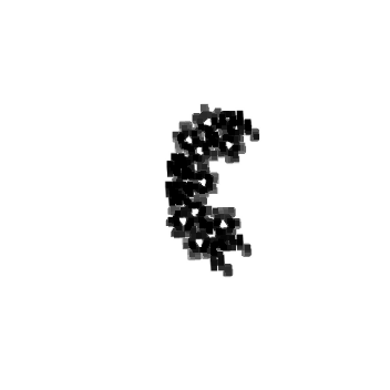 CC1(C)c2ccccc2N(c2ccc(-c3nnc4c5nnc(-c6ccc(N7c8ccccc8C(C)(C)c8ccccc87)c7ccccc67)n5c5ccccc5n34)c3ccccc23)c2ccccc21